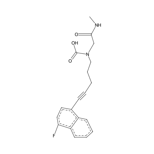 CNC(=O)CN(CCCC#Cc1ccc(F)c2ccccc12)C(=O)O